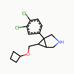 Clc1ccc(C23CNCC2C3COC2CCC2)cc1Cl